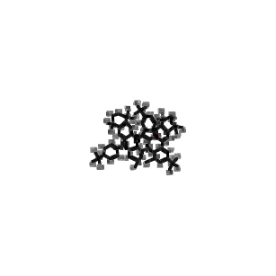 Cc1cc2c3c(c1)N(c1c(C)cc(C(C)(C)C)cc1-c1ccc4c(c1)C(C)(C)CCC4(C)C)c1sc4ccc(C(C)(C)C)cc4c1B3c1cc3c(cc1N2C1=CCC(C(C)(C)C)C=C1)C(C)(C)CCC3(C)C